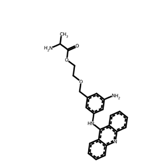 CC(N)C(=O)OCCOCc1cc(N)cc(Nc2c3ccccc3nc3ccccc23)c1